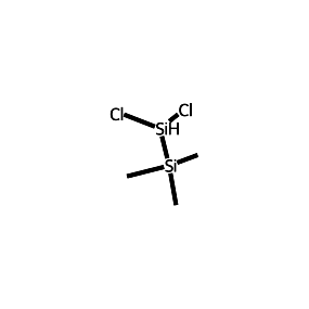 C[Si](C)(C)[SiH](Cl)Cl